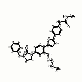 CC(C)NC(=S)Nc1ccc(-c2ncc(-c3ccc(N4CCN(Cc5ccccc5)C4=O)cc3SOONC(C)(C)C)s2)cc1